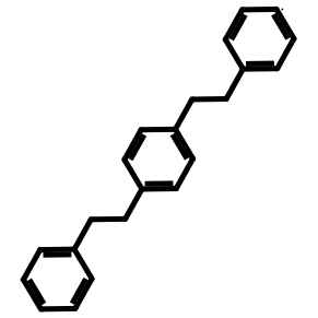 [c]1ccc(CCc2ccc(CCc3ccccc3)cc2)cc1